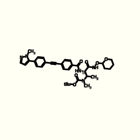 CC([C@H](NC(=O)c1ccc(C#Cc2ccc(-c3ccnn3C)cc2)cc1)C(=O)NOC1CCCCO1)N(C)C(=O)OC(C)(C)C